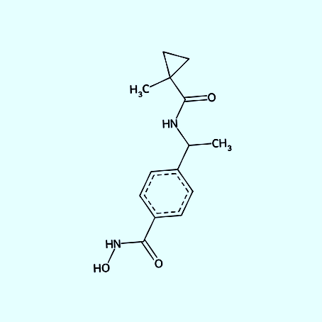 CC(NC(=O)C1(C)CC1)c1ccc(C(=O)NO)cc1